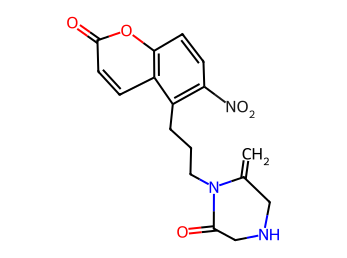 C=C1CNCC(=O)N1CCCc1c([N+](=O)[O-])ccc2oc(=O)ccc12